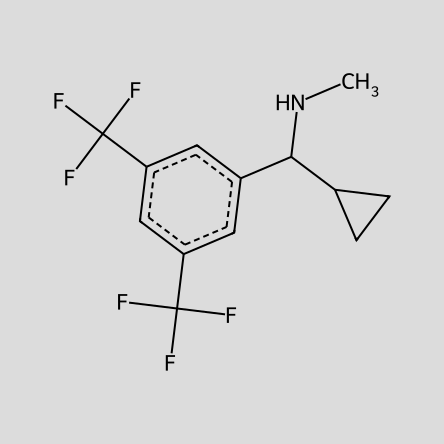 CNC(c1cc(C(F)(F)F)cc(C(F)(F)F)c1)C1CC1